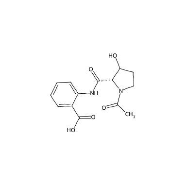 CC(=O)N1CCC(O)[C@H]1C(=O)Nc1ccccc1C(=O)O